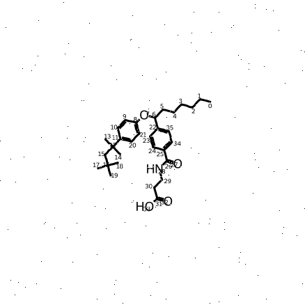 CCCCCCC(Oc1ccc(C(C)(C)CC(C)(C)C)cc1)c1ccc(C(=O)NCCC(=O)O)cc1